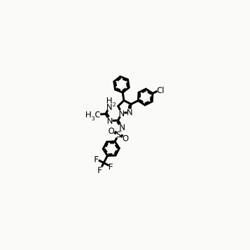 C/C(N)=N/C(=N\S(=O)(=O)c1ccc(C(F)(F)F)cc1)N1CC(c2ccccc2)C(c2ccc(Cl)cc2)=N1